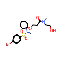 CN(CCO)C(=O)CCOC1(N(C)S(=O)(=O)c2ccc(Br)cc2)CCCCC1